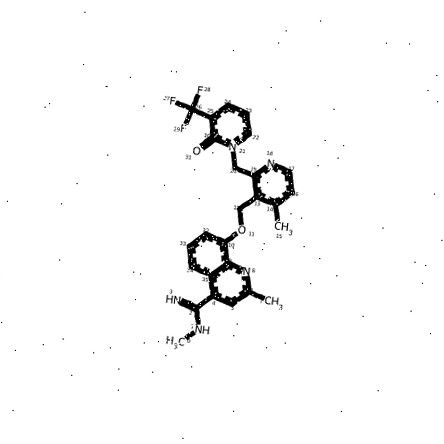 CNC(=N)c1cc(C)nc2c(OCc3c(C)ccnc3Cn3cccc(C(F)(F)F)c3=O)cccc12